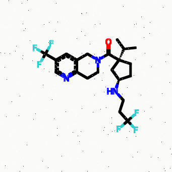 CC(C)[C@]1(C(=O)N2CCc3ncc(C(F)(F)F)cc3C2)CC[C@@H](NCCC(F)(F)F)C1